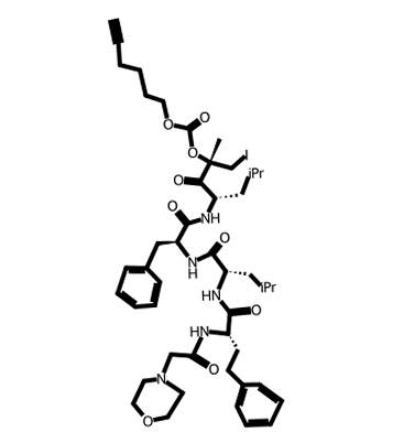 C#CCCCCOC(=O)O[C@](C)(CI)C(=O)[C@H](CC(C)C)NC(=O)[C@H](Cc1ccccc1)NC(=O)[C@H](CC(C)C)NC(=O)[C@H](CCc1ccccc1)NC(=O)CN1CCOCC1